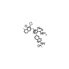 CC(=O)Nc1nc2ccc(-c3nn(Cc4cc5cccc(C)c5c(=O)n4C4CCC4)c4ncnc(N)c34)cc2s1